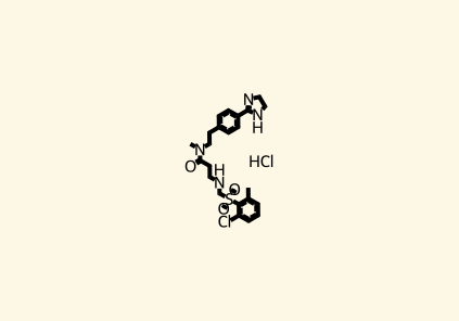 Cc1cccc(Cl)c1S(=O)(=O)CNCCC(=O)N(C)CCc1ccc(C2=NCCN2)cc1.Cl